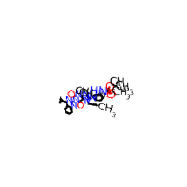 CC#CCN1C(N2CCC[C@@H](NC(=O)OC(C)(C)C)C2)=NC2(C)C1C(=O)N(c1nc(C3CC3)c3ccccc3n1)C(=O)N2C